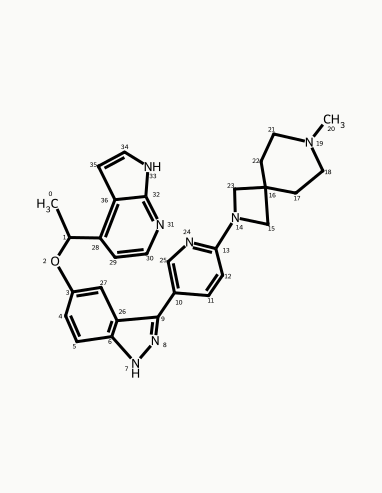 CC(Oc1ccc2[nH]nc(-c3ccc(N4CC5(CCN(C)CC5)C4)nc3)c2c1)c1ccnc2[nH]ccc12